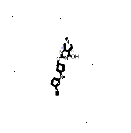 C#Cc1cccc(N(C)c2ccc(Oc3nc(O)c(=C/C)/c(=C\N=C)n3)cc2)c1